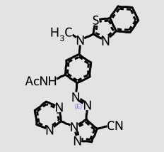 CC(=O)Nc1cc(N(C)c2nc3ccccc3s2)ccc1/N=N/c1c(C#N)cnn1-c1ncccn1